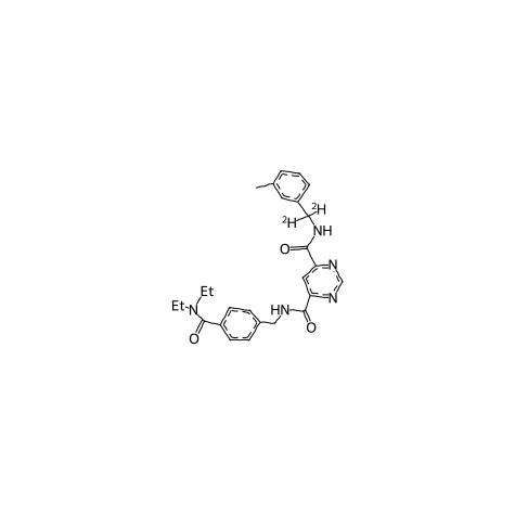 [2H]C([2H])(NC(=O)c1cc(C(=O)NCc2ccc(C(=O)N(CC)CC)cc2)ncn1)c1cccc(C)c1